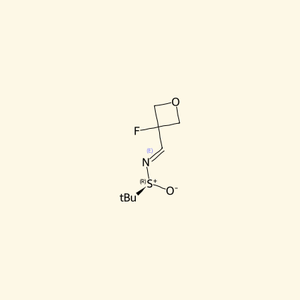 CC(C)(C)[S@+]([O-])/N=C/C1(F)COC1